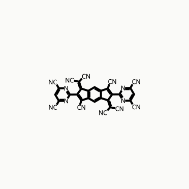 N#CC(C#N)=C1C(c2nc(C#N)cc(C#N)n2)=C(C#N)c2cc3c(cc21)C(C#N)=C(c1nc(C#N)cc(C#N)n1)C3=C(C#N)C#N